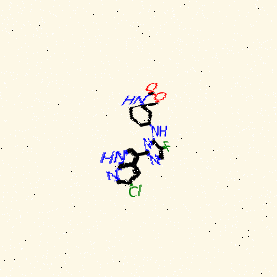 O=C1N[C@]2(CCC[C@H](Nc3nc(-c4c[nH]c5ncc(Cl)cc45)ncc3F)C2)CO1